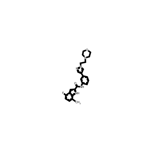 Cc1ccc(F)c2cc(C(=O)Nc3cccc(-c4cnn(CCN5CCOCC5)c4)c3)[nH]c12